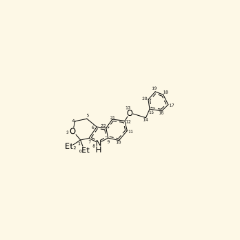 CCC1(CC)OCCc2c1[nH]c1ccc(OCc3ccccc3)cc21